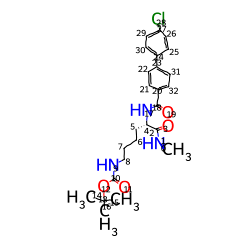 CNC(=O)[C@H](CCCCNC(=O)OC(C)(C)C)NC(=O)c1ccc(-c2ccc(Cl)cc2)cc1